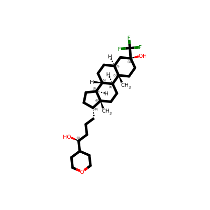 C[C@]12CC[C@@](O)(C(F)(F)F)C[C@@H]1CC[C@@H]1[C@@H]2CC[C@]2(C)[C@H](CCC[C@H](O)C3CCOCC3)CC[C@@H]12